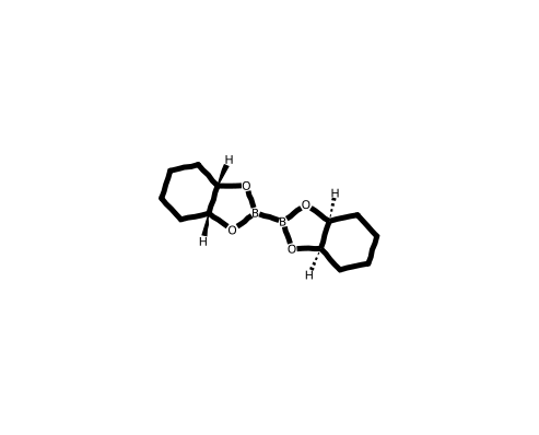 C1CC[C@H]2OB(B3O[C@H]4CCCC[C@H]4O3)O[C@H]2C1